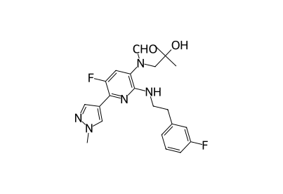 Cn1cc(-c2nc(NCCc3cccc(F)c3)c(N(C=O)CC(C)(C)O)cc2F)cn1